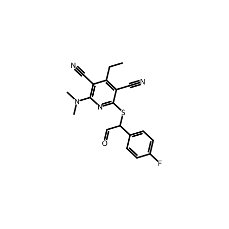 CCc1c(C#N)c(SC(C=O)c2ccc(F)cc2)nc(N(C)C)c1C#N